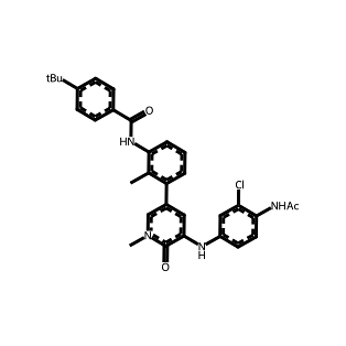 CC(=O)Nc1ccc(Nc2cc(-c3cccc(NC(=O)c4ccc(C(C)(C)C)cc4)c3C)cn(C)c2=O)cc1Cl